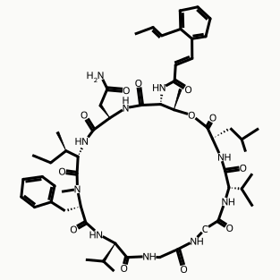 C/C=C/c1ccccc1/C=C/C(=O)N[C@H]1C(=O)N[C@H](CC(N)=O)C(=O)N[C@@H]([C@H](C)CC)C(=O)N(C)[C@@H](Cc2ccccc2)C(=O)N[C@H](C(C)C)C(=O)NCC(=O)NCC(=O)N[C@@H](C(C)C)C(=O)N[C@@H](CC(C)C)C(=O)O[C@@H]1C